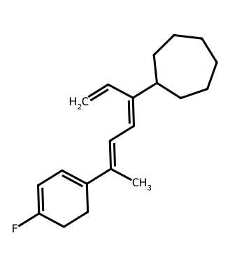 C=C/C(=C\C=C(/C)C1=CC=C(F)CC1)C1CCCCCC1